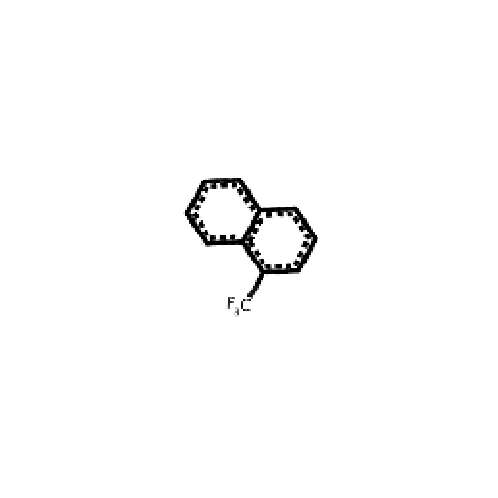 FC(F)(F)c1cccc2ccc[c]c12